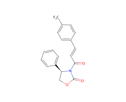 O=C(C=Cc1ccc(C(F)(F)F)cc1)N1C(=O)OC[C@H]1c1ccccc1